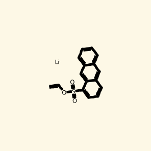 C=COS(=O)(=O)c1cccc2cc3ccccc3cc12.[Li]